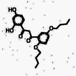 CCCCOc1ccc(OCCCC)c(C(=O)CC(=O)c2ccc(O)cc2O)c1